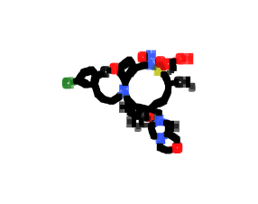 CO[C@@]1(CN2CCN3CCOC[C@@H]3C2)/C=C/C[C@H](C)[C@@H](CCO)S(=O)(=O)NC(=O)c2ccc3c(c2)N(CCCCc2cc(Cl)ccc2CO3)C[C@@H]2CC[C@H]21